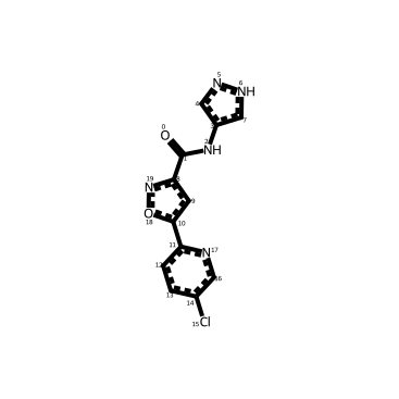 O=C(Nc1cn[nH]c1)c1cc(-c2ccc(Cl)cn2)on1